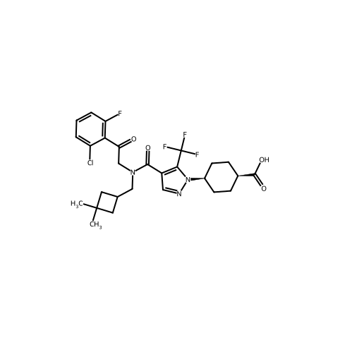 CC1(C)CC(CN(CC(=O)c2c(F)cccc2Cl)C(=O)c2cnn([C@H]3CC[C@@H](C(=O)O)CC3)c2C(F)(F)F)C1